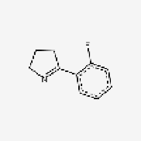 Fc1ccccc1C1=NCCC1